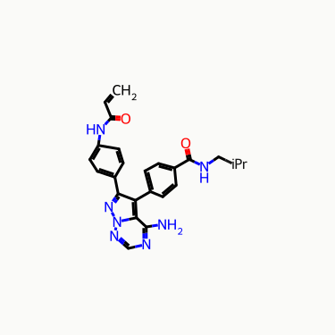 C=CC(=O)Nc1ccc(-c2nn3ncnc(N)c3c2-c2ccc(C(=O)NCC(C)C)cc2)cc1